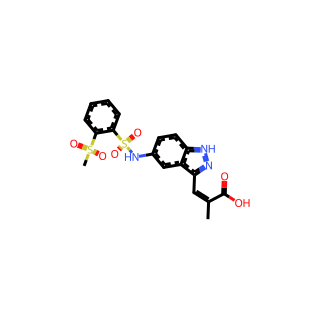 CC(=Cc1n[nH]c2ccc(NS(=O)(=O)c3ccccc3S(C)(=O)=O)cc12)C(=O)O